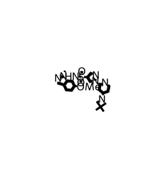 COc1ccc2cnn(C)c2c1NS(=O)(=O)c1cnn(-c2cc(N3CC(C)(C)C3)ccn2)c1